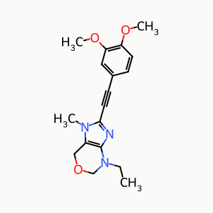 CCN1COCc2c1nc(C#Cc1ccc(OC)c(OC)c1)n2C